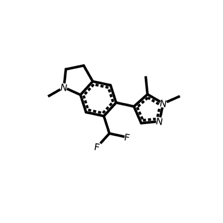 Cc1c(-c2cc3c(cc2C(F)F)N(C)CC3)cnn1C